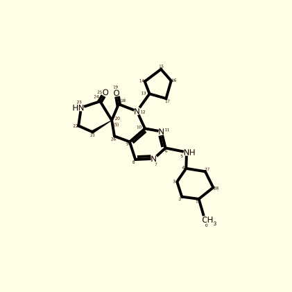 CC1CCC(Nc2ncc3c(n2)N(C2CCCC2)C(=O)[C@]2(CCNC2=O)C3)CC1